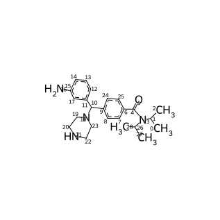 CC(C)N(C(=O)c1ccc(C(c2cccc(N)c2)N2CCNCC2)cc1)C(C)C